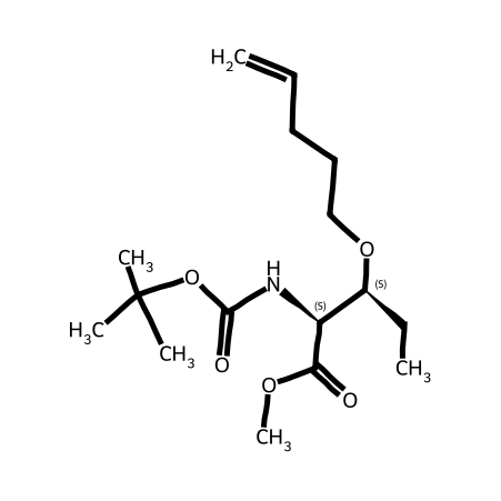 C=CCCCO[C@@H](CC)[C@H](NC(=O)OC(C)(C)C)C(=O)OC